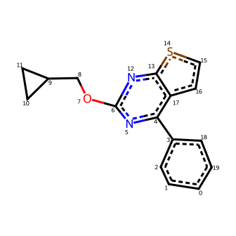 c1ccc(-c2nc(OCC3CC3)nc3sccc23)cc1